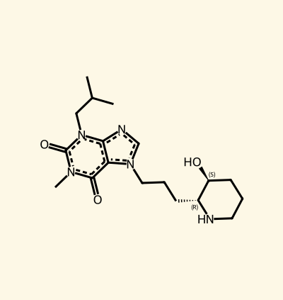 CC(C)Cn1c(=O)n(C)c(=O)c2c1ncn2CCC[C@H]1NCCC[C@@H]1O